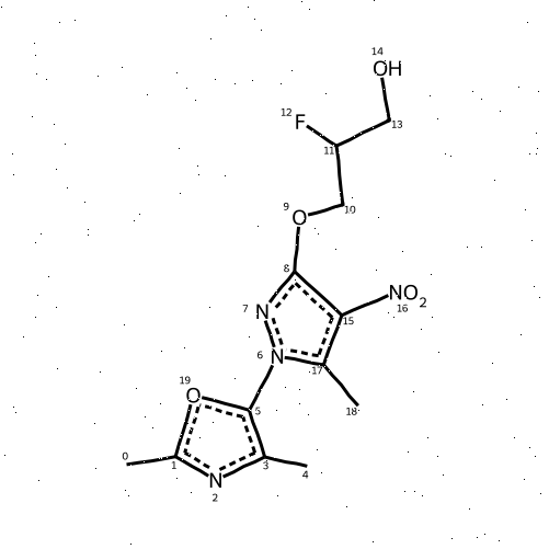 Cc1nc(C)c(-n2nc(OCC(F)CO)c([N+](=O)[O-])c2C)o1